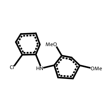 COc1ccc(Nc2ccccc2Cl)c(OC)c1